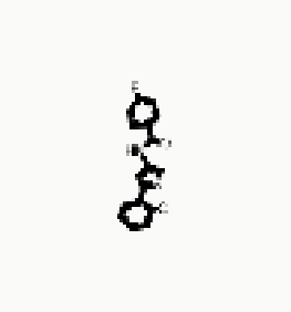 O=C(Nc1csc(-c2ccccc2Cl)c1)c1ccc(F)cc1